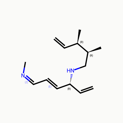 C=C[C@H](/C=C/C=N\C)NC[C@H](C)[C@H](C)C=C